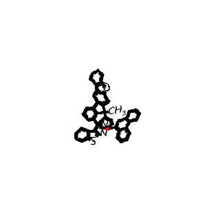 CC1(c2ccccc2)c2cc3oc4ccccc4c3cc2-c2cccc(-c3nc(-c4cc5ccccc5c5ccccc45)nc4sc5ccccc5c34)c21